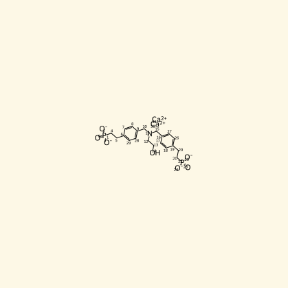 O=P([O-])([O-])CCc1ccc(CN(CCO)Cc2ccc(CCP(=O)([O-])[O-])cc2)cc1.[Ca+2].[Ca+2]